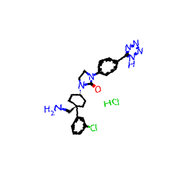 Cl.NC[C@]1(c2cccc(Cl)c2)CC[C@@H](N2CCN(c3ccc(-c4nnn[nH]4)cc3)C2=O)CC1